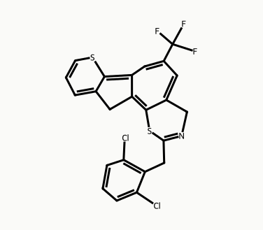 FC(F)(F)C1=CC2=C3SC=CC=C3CC2=C2SC(Cc3c(Cl)cccc3Cl)=NCC2=C1